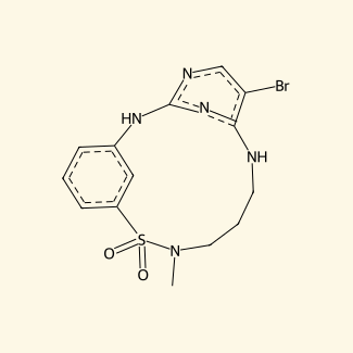 CN1CCCNc2nc(ncc2Br)Nc2cccc(c2)S1(=O)=O